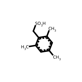 Cc1cc(C)c(CS(=O)(=O)O)c(C)c1